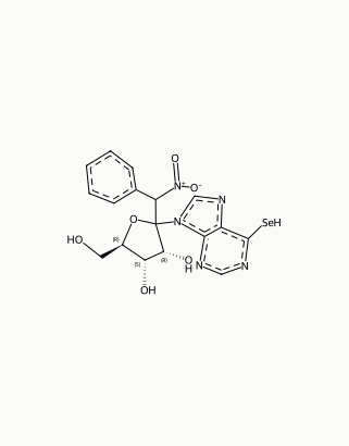 O=[N+]([O-])C(c1ccccc1)C1(n2cnc3c([SeH])ncnc32)O[C@H](CO)[C@@H](O)[C@H]1O